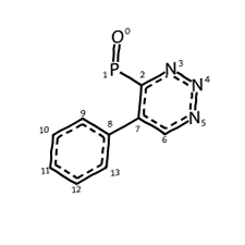 O=Pc1nnncc1-c1ccccc1